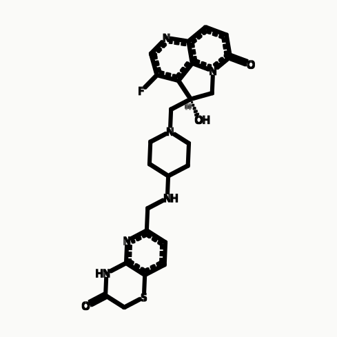 O=C1CSc2ccc(CNC3CCN(C[C@]4(O)Cn5c(=O)ccc6ncc(F)c4c65)CC3)nc2N1